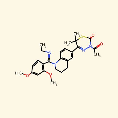 CCN=C(c1ccc(OC)cc1OC)N1CCCc2cc(C3=NN(C(C)=O)C(=O)SC3(C)C)ccc21